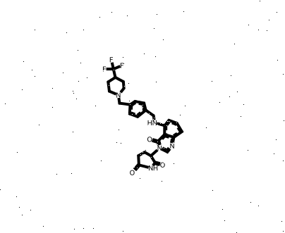 O=C1CCC(n2cnc3cccc(NCc4ccc(CN5CCC(C(F)(F)F)CC5)cc4)c3c2=O)C(=O)N1